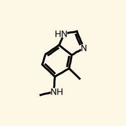 CNc1ccc2[nH]cnc2c1C